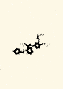 CCOC(=O)c1ccc(-n2cc(N)c3c(OCc4ccccc4)cccc32)cc1OCOC